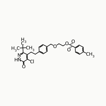 Cc1ccc(S(=O)(=O)OCCOCc2ccc(CCc3c(C(C)(C)C)n[nH]c(=O)c3Cl)cc2)cc1